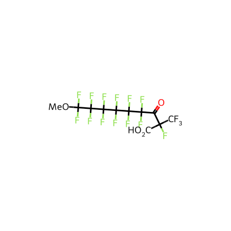 COC(F)(F)C(F)(F)C(F)(F)C(F)(F)C(F)(F)C(F)(F)C(=O)C(F)(C(=O)O)C(F)(F)F